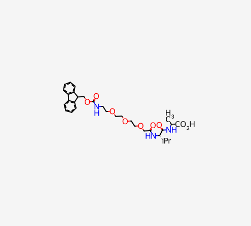 CC(C)[C@H](NC(=O)COCCOCCOCCNC(=O)OCC1c2ccccc2-c2ccccc21)C(=O)N[C@@H](C)C(=O)O